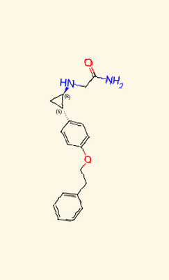 NC(=O)CN[C@@H]1C[C@H]1c1ccc(OCCc2ccccc2)cc1